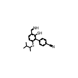 CC(C)C(C)Sc1ccc(C=N)c(S)c1-c1ccc(C#N)cc1